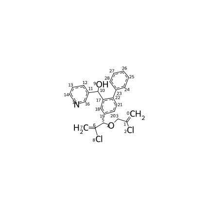 C=C(Cl)COCC(=C)Cl.OC(c1cccnc1)c1ccccc1-c1ccccc1